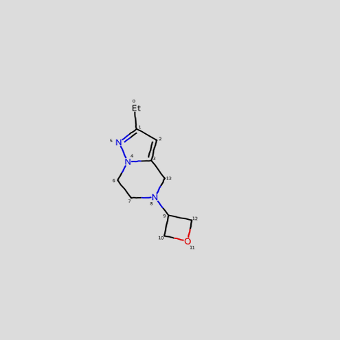 CCc1cc2n(n1)CCN(C1COC1)C2